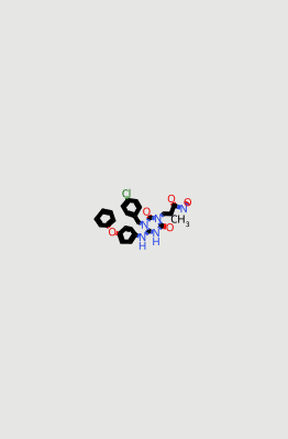 C[C@@H](CN1C(=O)NC(Nc2ccc(Oc3ccccc3)cc2)N(Cc2ccc(Cl)cc2)C1=O)C(=O)N=O